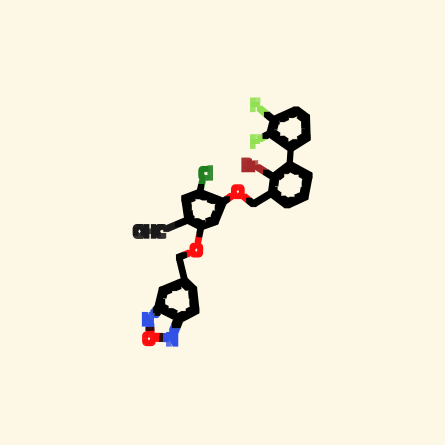 O=Cc1cc(Cl)c(OCc2cccc(-c3cccc(F)c3F)c2Br)cc1OCc1ccc2nonc2c1